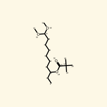 CCC(CCCCCCC(OC)OC)OC(=O)C(C)(C)C